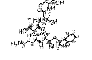 C[C@@H](O)[C@H](NC(=O)[C@@H](NC(=O)[C@@H](NC(=O)[C@H](CCCN)NC(=O)[C@H](N)Cc1c[nH]c2ccccc12)[C@@H](C)O)C(C)(C)S)C(N)=O